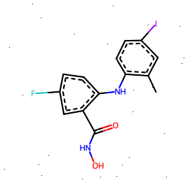 Cc1cc(I)ccc1Nc1ccc(F)cc1C(=O)NO